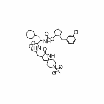 CS(=O)(=O)N1CCC2(CC1)CC(CC(C=O)NC(=O)[C@H](CC1CCCCC1)NC(=O)OC1CCCC1Cc1cccc(Cl)c1)C(=O)N2